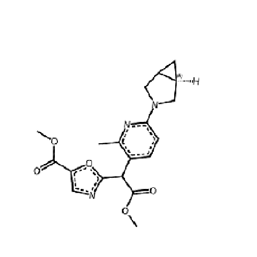 COC(=O)c1cnc(C(C(=O)OC)c2ccc(N3CC4C[C@H]4C3)nc2C)o1